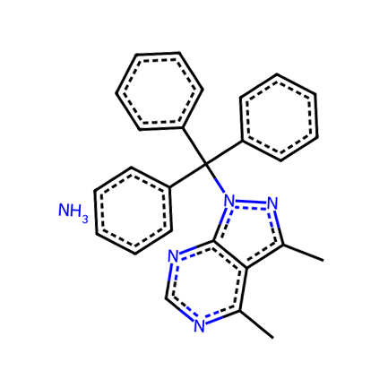 Cc1ncnc2c1c(C)nn2C(c1ccccc1)(c1ccccc1)c1ccccc1.N